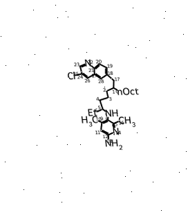 CCCCCCCCC(CCCC(CC)Nc1c(C)cc(N)nc1C)Cc1ccc2ncc(Cl)cc2c1